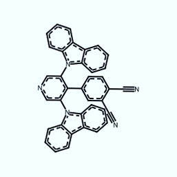 N#Cc1ccc(-c2c(-n3c4ccccc4c4ccccc43)cncc2-n2c3ccccc3c3ccccc32)cc1C#N